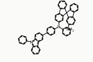 Nc1ccc2c(c1)C1(c3ccccc3-2)c2ccccc2-c2ccc(N(c3ccccc3)c3ccc(-c4ccc5c(c4)c4ccccc4n5-c4ccccc4)cc3)cc21